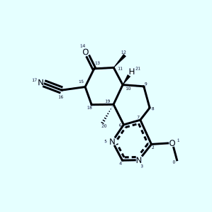 COc1ncnc2c1CC[C@H]1[C@H](C)C(=O)C(C#N)C[C@]21C